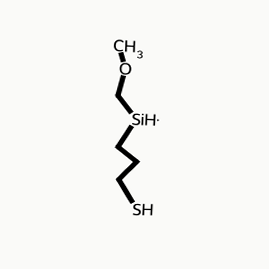 COC[SiH]CCCS